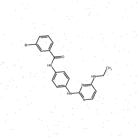 CCNc1ccnc(Nc2ccc(NC(=O)c3cccc(Br)c3)cc2)n1